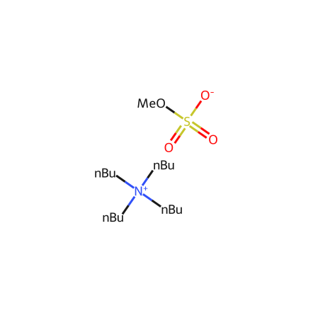 CCCC[N+](CCCC)(CCCC)CCCC.COS(=O)(=O)[O-]